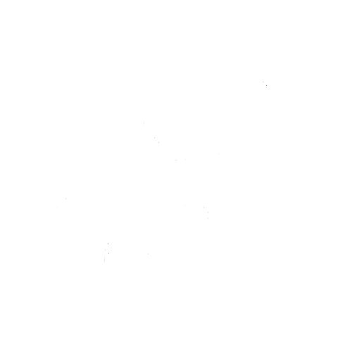 CC(=O)NCc1ccc(-c2cnc(-c3ccc(NC(=O)OC(C)C)cc3)s2)c(S(=O)(=O)NC(C)(C)C)c1